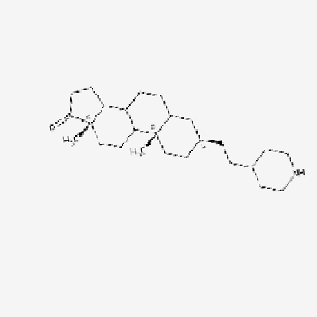 C[C@]12CC[C@H](CCC3CCNCC3)CC1CCC1C2CC[C@]2(C)C(=O)CCC12